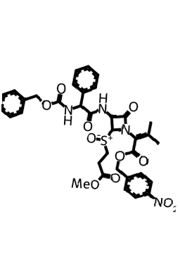 COC(=O)CC[S+]([O-])C1C(NC(=O)C(NC(=O)OCc2ccccc2)c2ccccc2)C(=O)N1C(C(=O)OCc1ccc([N+](=O)[O-])cc1)=C(C)C